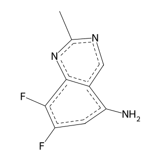 Cc1ncc2c(N)cc(F)c(F)c2n1